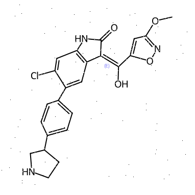 COc1cc(/C(O)=C2\C(=O)Nc3cc(Cl)c(-c4ccc(C5CCNC5)cc4)cc32)on1